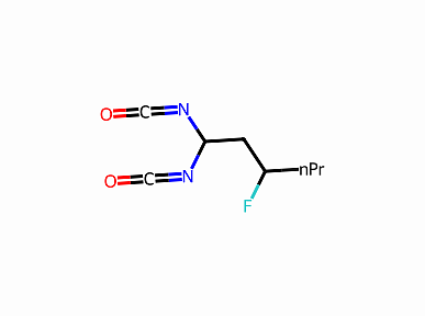 CCCC(F)CC(N=C=O)N=C=O